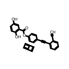 C#Cc1ccccc1C#Cc1ccc(OC(=O)c2cc(O)ccc2O)cc1.c1cc2ccc1-2